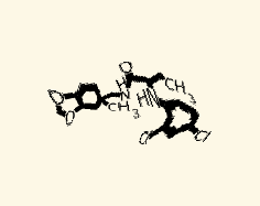 CCC(Nc1ccc(Cl)cc1Cl)C(=O)NCC1(C)C=C2OCOC2=CC1